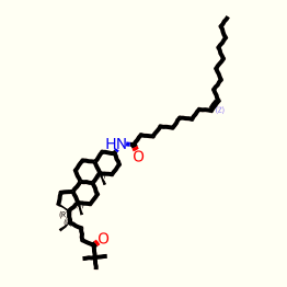 CCCCCCCC/C=C\CCCCCCCC(=O)NC1CC[C@@]2(C)C(CCC3C2CC[C@@]2(C)C3CC[C@@H]2[C@H](C)CCC(=O)C(C)(C)C)C1